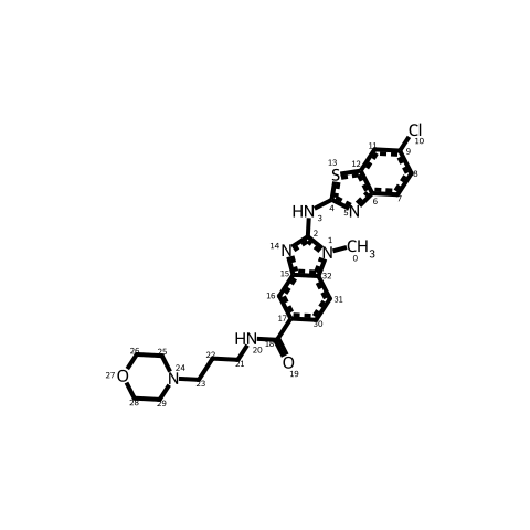 Cn1c(Nc2nc3ccc(Cl)cc3s2)nc2cc(C(=O)NCCCN3CCOCC3)ccc21